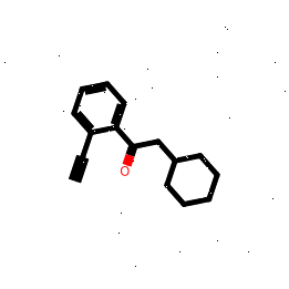 C#Cc1ccccc1C(=O)CC1CCCCC1